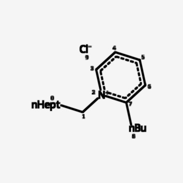 CCCCCCCC[n+]1ccccc1CCCC.[Cl-]